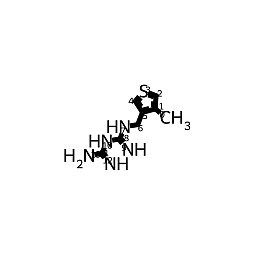 Cc1cscc1CNC(=N)NC(=N)N